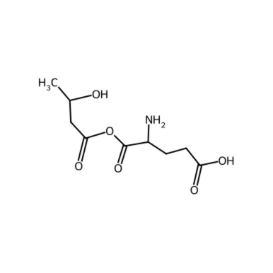 CC(O)CC(=O)OC(=O)C(N)CCC(=O)O